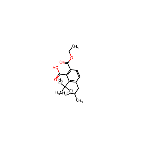 CCOC(=O)c1ccc(CC(C)C)c(C(C)(C)C)c1C(=O)O